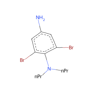 CCCN(CCC)c1c(Br)cc(N)cc1Br